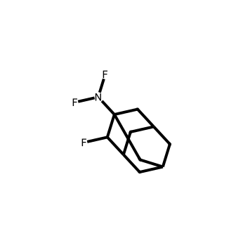 FC1C2CC3CC(C2)CC1(N(F)F)C3